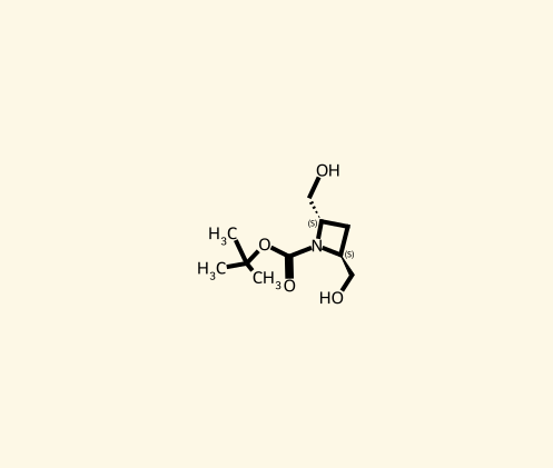 CC(C)(C)OC(=O)N1[C@H](CO)C[C@H]1CO